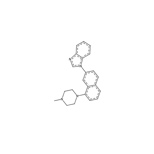 CN1CCN(c2cccc3ccc(-n4cnc5ccccc54)cc23)CC1